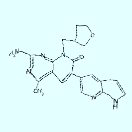 Cc1nc(N)nc2c1cc(-c1cnc3[nH]ccc3c1)c(=O)n2CC1CCOC1